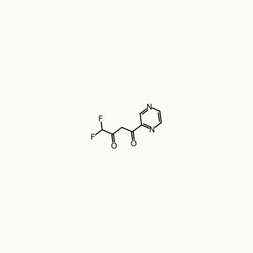 O=C(CC(=O)C(F)F)c1cnccn1